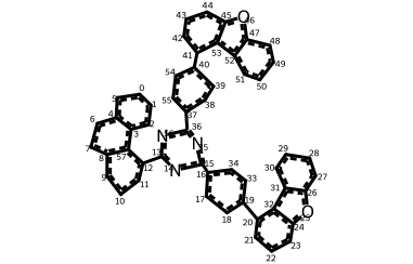 c1ccc2c(c1)ccc1cccc(-c3nc(-c4ccc(-c5cccc6oc7ccccc7c56)cc4)nc(-c4ccc(-c5cccc6oc7ccccc7c56)cc4)n3)c12